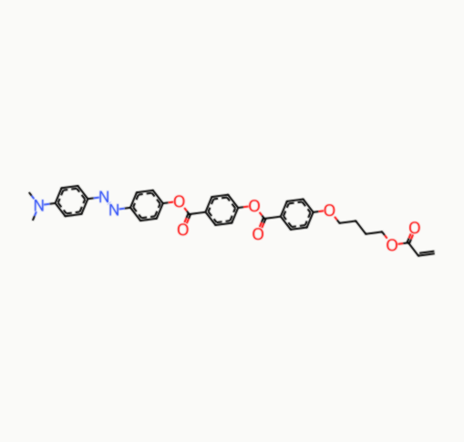 C=CC(=O)OCCCCOc1ccc(C(=O)Oc2ccc(C(=O)Oc3ccc(N=Nc4ccc(N(C)C)cc4)cc3)cc2)cc1